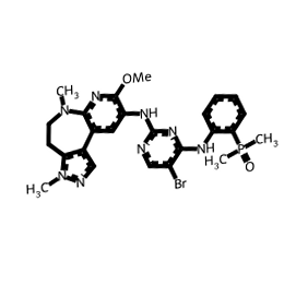 COc1nc2c(cc1Nc1ncc(Br)c(Nc3ccccc3P(C)(C)=O)n1)-c1cnn(C)c1CCN2C